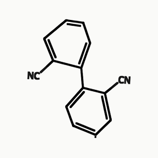 N#Cc1c[c]ccc1-c1ccccc1C#N